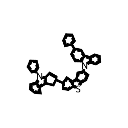 C1=CC(c2ccc3sc4ccc(-n5c6ccccc6c6cc(-c7ccccc7)ccc65)cc4c3c2)Cc2c1n(-c1ccccc1)c1ccccc21